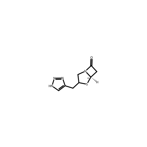 O=C1C[C@H]2SC(Cc3c[nH]nn3)CN12